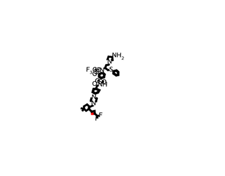 CC1(C)CCC(CN2CCN(c3ccc(C(=O)NS(=O)(=O)c4ccc(NC(CCN5CC[C@H](N)C5)CSc5ccccc5)c(S(=O)(=O)C(F)(F)F)c4)cc3)CC2)=C(C23CC(C(F)F)(C2)C3)C1